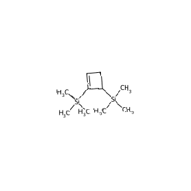 C[Si](C)(C)C1=CCC1[Si](C)(C)C